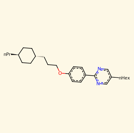 CCCCCCc1cnc(-c2ccc(OCCC[C@H]3CC[C@H](CCC)CC3)cc2)nc1